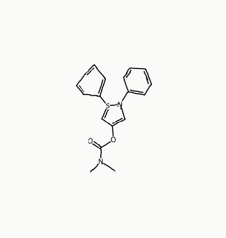 CN(C)C(=O)OC1=CN(c2ccccc2)S(c2ccccc2)=C1